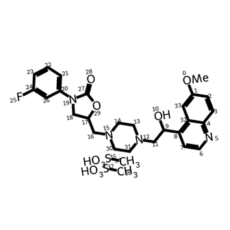 COc1ccc2nccc(C(O)CN3CCN(CC4CN(c5cccc(F)c5)C(=O)O4)CC3)c2c1.CS(=O)(=O)O.CS(=O)(=O)O